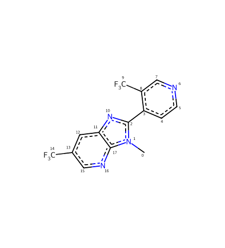 Cn1c(-c2ccncc2C(F)(F)F)nc2cc(C(F)(F)F)cnc21